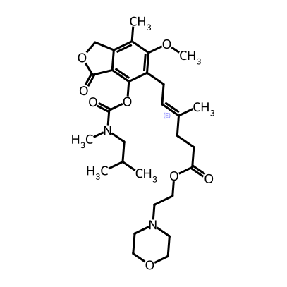 COc1c(C)c2c(c(OC(=O)N(C)CC(C)C)c1C/C=C(\C)CCC(=O)OCCN1CCOCC1)C(=O)OC2